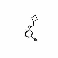 Brc1cccc(OCC2CCC2)c1